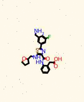 NCc1cc(F)cc(-c2nc(C(=O)Nc3ccccc3CC(=O)O)c(NCC3CCCO3)s2)c1